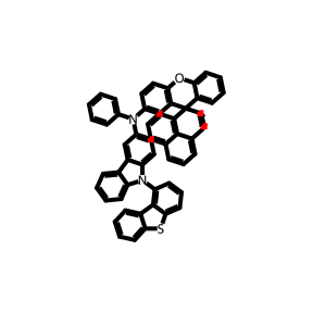 c1ccc(N(c2ccc3c(c2)C2(c4ccccc4O3)c3ccccc3-c3cccc4cccc2c34)c2ccc3c(c2)c2ccccc2n3-c2cccc3sc4ccccc4c23)cc1